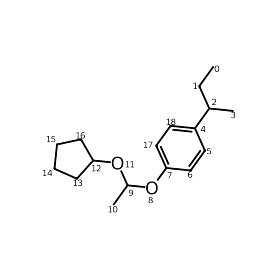 CCC(C)c1ccc(OC(C)OC2CCCC2)cc1